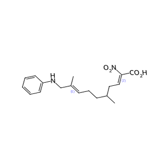 C/C(=C\CCC(C)C/C=C(/C(=O)O)[N+](=O)[O-])CNc1ccccc1